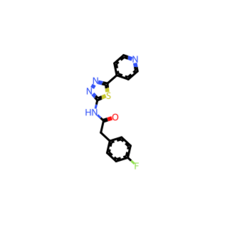 O=C(Cc1ccc(F)cc1)Nc1nnc(-c2ccncc2)s1